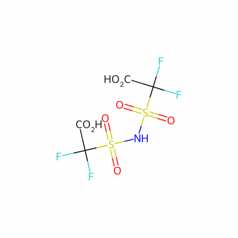 O=C(O)C(F)(F)S(=O)(=O)NS(=O)(=O)C(F)(F)C(=O)O